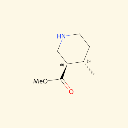 COC(=O)[C@H]1CNCC[C@@H]1C